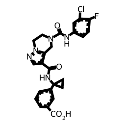 O=C(O)c1cccc(C2(NC(=O)c3cnn4c3CN(C(=O)Nc3ccc(F)c(Cl)c3)CC4)CC2)c1